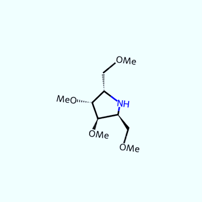 COC[C@@H]1N[C@@H](COC)[C@@H](OC)[C@@H]1OC